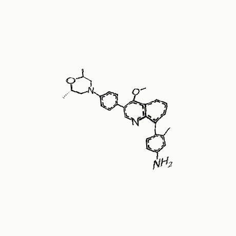 COc1c(-c2ccc(N3CC(C)O[C@@H](C)C3)cc2)cnc2c(-c3ccc(N)cc3C)cccc12